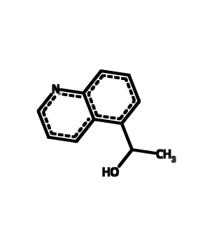 CC(O)c1cccc2ncccc12